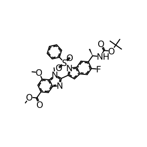 COC(=O)c1cc(OC)c2c(c1)nc(-c1cc3cc(F)c([C@@H](C)NC(=O)OC(C)(C)C)cc3n1S(=O)(=O)c1ccccc1)n2C